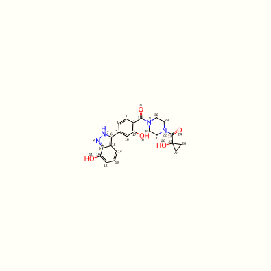 O=C(c1ccc(-c2[nH]nc3c(O)cccc23)cc1O)N1CCN(C(=O)C2(O)CC2)CC1